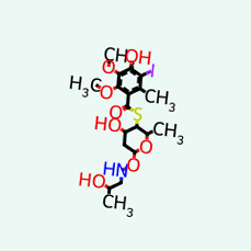 COc1c(O)c(I)c(C)c(C(=O)SC2C(O)CC(ONCC(C)O)OC2C)c1OC